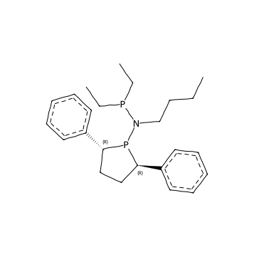 CCCCN(P(CC)CC)P1[C@@H](c2ccccc2)CC[C@@H]1c1ccccc1